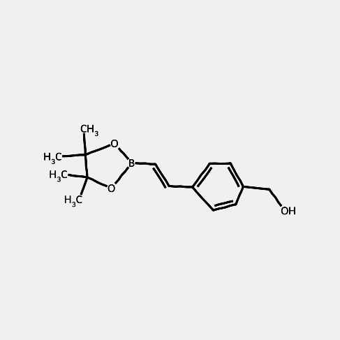 CC1(C)OB(C=Cc2ccc(CO)cc2)OC1(C)C